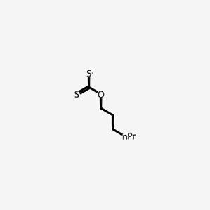 CCCCCCOC([S])=S